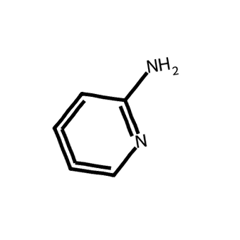 NC1=NC=C=C=C1